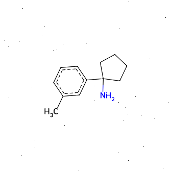 Cc1cccc(C2(N)CCCC2)c1